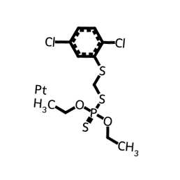 CCOP(=S)(OCC)SCSc1cc(Cl)ccc1Cl.[Pt]